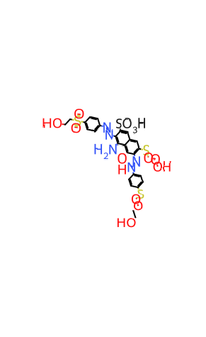 Nc1c(N=Nc2ccc(S(=O)(=O)CCO)cc2)c(S(=O)(=O)O)cc2cc(SOOO)c(N=Nc3ccc(SOOCCO)cc3)c(O)c12